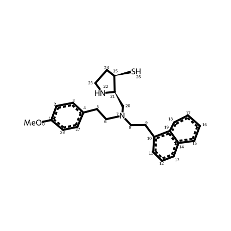 COc1ccc(CCN(CCc2cccc3ccccc23)C[C@H]2NCC[C@H]2S)cc1